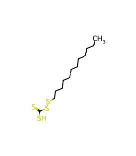 CCCCCCCCCCCCSSC(=S)S